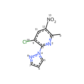 Cc1nc(-n2cccn2)c(Cl)cc1[N+](=O)[O-]